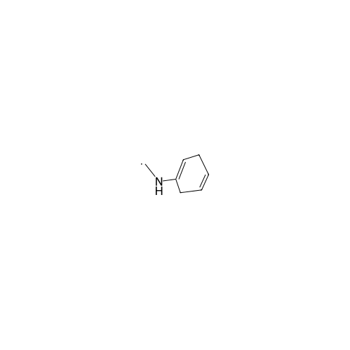 [CH2]NC1=CCC=CC1